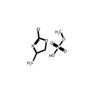 CCC1=NC(C)CO1.COS(=O)(=O)O